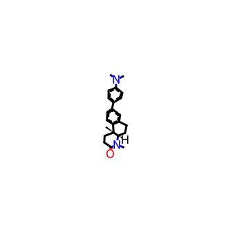 CN(C)c1ccc(-c2ccc3c(c2)CC[C@H]2N(C)C(=O)CC[C@]32C)cc1